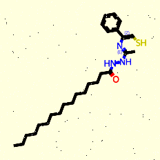 CCCCCCCCCCCCCCCC(=O)NN/C(C)=N/C(=C\S)c1ccccc1